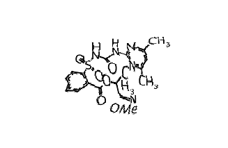 CON=CC(C)OC(=O)c1ccccc1S(=O)(=O)NC(=O)Nc1nc(C)cc(C)n1